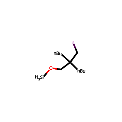 CCCCC(CI)(CCCC)CO[SiH3]